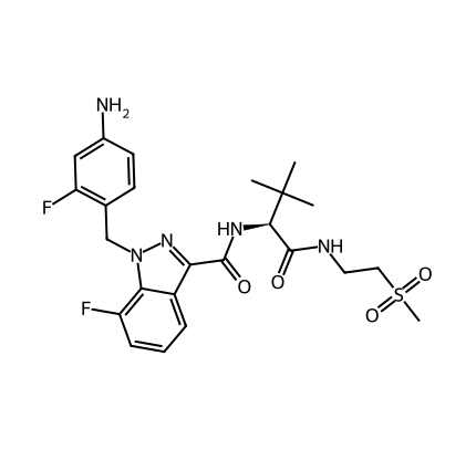 CC(C)(C)[C@H](NC(=O)c1nn(Cc2ccc(N)cc2F)c2c(F)cccc12)C(=O)NCCS(C)(=O)=O